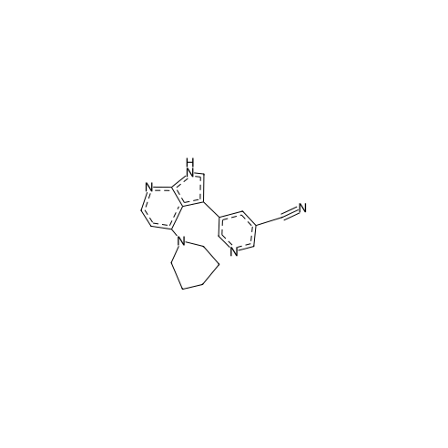 N#Cc1cncc(-c2c[nH]c3nccc(N4CCCCC4)c23)c1